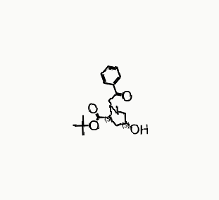 CC(C)(C)OC(=O)[C@@H]1C[C@H](O)CN1CC(=O)c1ccccc1